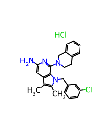 Cc1c(C)n(Cc2cccc(Cl)c2)c2c(N3CCc4ccccc4C3)nc(N)cc12.Cl